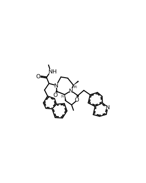 CNC(=O)C(Cc1ccc2ccccc2c1)N1CC[C@@H](C)N(C(=O)Cc2ccc3ncccc3c2)[C@@H](CC(C)C)C1=O